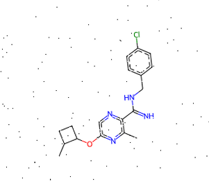 Cc1nc(OC2CCC2C)cnc1C(=N)NCc1ccc(Cl)cc1